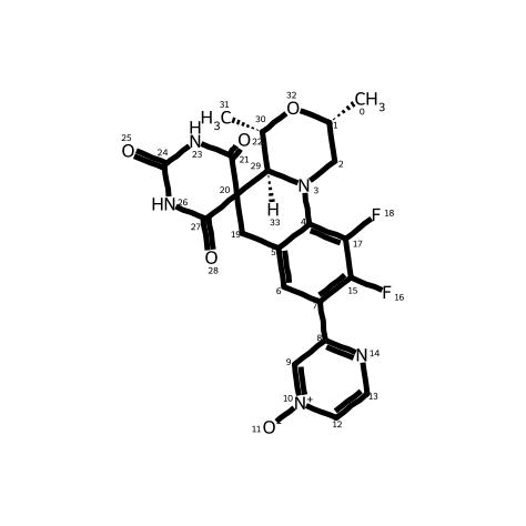 C[C@@H]1CN2c3c(cc(-c4c[n+]([O-])ccn4)c(F)c3F)CC3(C(=O)NC(=O)NC3=O)[C@H]2[C@H](C)O1